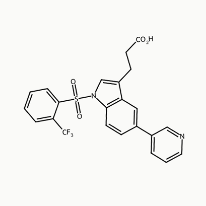 O=C(O)CCc1cn(S(=O)(=O)c2ccccc2C(F)(F)F)c2ccc(-c3cccnc3)cc12